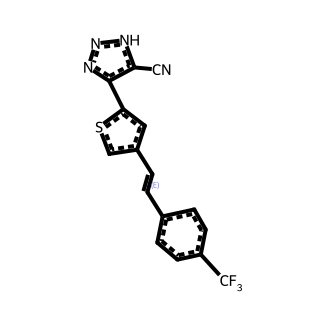 N#Cc1[nH]nnc1-c1cc(/C=C/c2ccc(C(F)(F)F)cc2)cs1